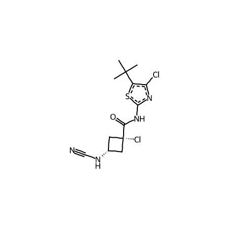 CC(C)(C)c1sc(NC(=O)[C@]2(Cl)C[C@@H](NC#N)C2)nc1Cl